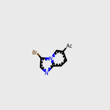 CC(=O)c1ccc2ncc(Br)n2c1